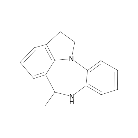 CC1Nc2ccccc2N2CCc3cccc1c32